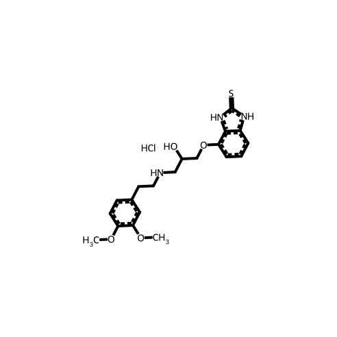 COc1ccc(CCNCC(O)COc2cccc3[nH]c(=S)[nH]c23)cc1OC.Cl